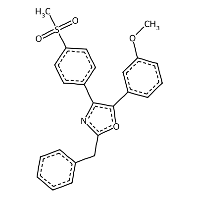 COc1cccc(-c2oc(Cc3ccccc3)nc2-c2ccc(S(C)(=O)=O)cc2)c1